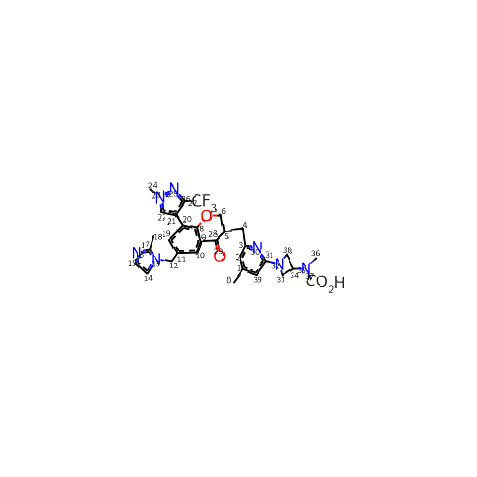 Cc1cc(C[C@@H]2COc3c(cc(Cn4ccnc4C)cc3-c3cn(C)nc3C(F)(F)F)C2=O)nc(N2CC(N(C)C(=O)O)C2)c1